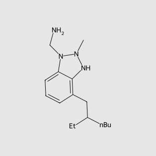 CCCCC(CC)Cc1cccc2c1NN(C)N2CN